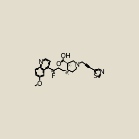 COc1ccc2nccc([C@H](F)CC[C@@H]3CCN(CC#Cc4cncs4)C[C@@H]3C(=O)O)c2c1